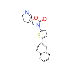 O=C1O[C@]2(CN3CCC2CC3)CN1c1ccc(-c2ccc3ccccc3c2)s1